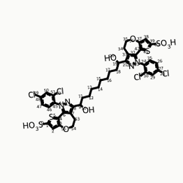 O=S(=O)(O)c1cc2c(s1)-c1c(c(C(O)CCCCCCCCC(O)c3nn(-c4ccc(Cl)cc4Cl)c4c3CCOc3cc(S(=O)(=O)O)sc3-4)nn1-c1ccc(Cl)cc1Cl)CCO2